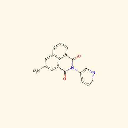 O=C1c2cccc3cc([N+](=O)[O-])cc(c23)C(=O)N1c1cccnc1